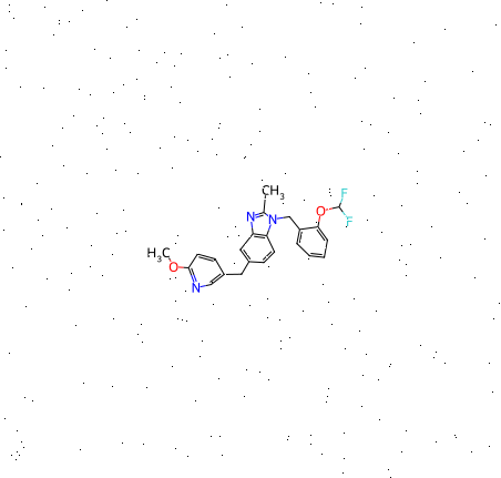 COc1ccc(Cc2ccc3c(c2)nc(C)n3Cc2ccccc2OC(F)F)cn1